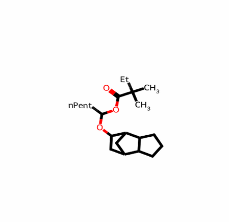 CCCCCC(OC(=O)C(C)(C)CC)OC1CC2CC1C1CCCC21